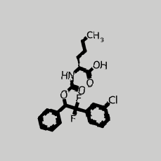 CCCC[C@H](NC(=O)OC(c1ccccc1)C(F)(F)c1cccc(Cl)c1)C(=O)O